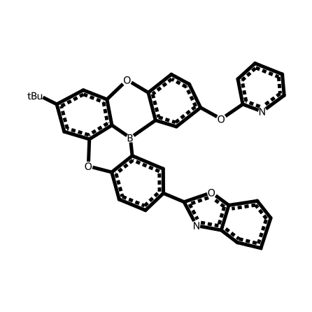 CC(C)(C)c1cc2c3c(c1)Oc1ccc(-c4nc5ccccc5o4)cc1B3c1cc(Oc3ccccn3)ccc1O2